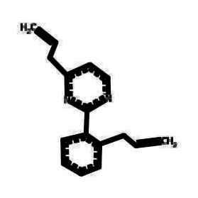 C=CCc1ccnc(-c2ccccc2CC=C)n1